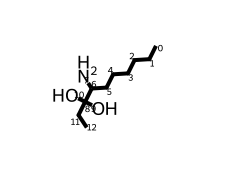 CCCCCCC(N)C(O)(O)CC